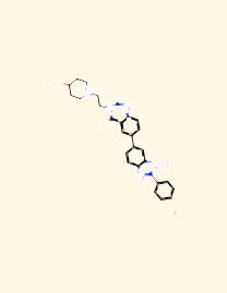 COc1ccc(-c2nc3ccc(-c4ccc5ncn(CCN6CCC(O)CC6)c(=O)c5c4)cc3[nH]2)cc1